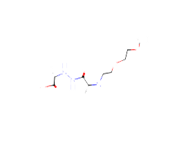 COCCOCCN[C@@H](C)C(=O)NN[C@@H](C)C(=O)O